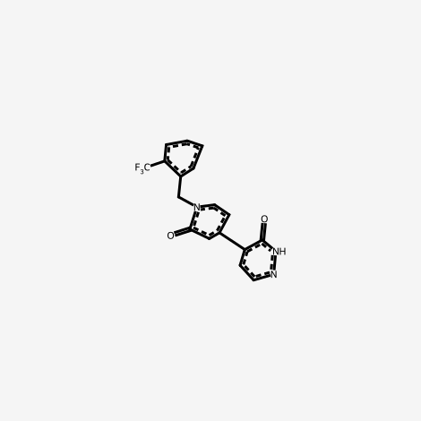 O=c1[nH]nccc1-c1ccn(Cc2ccccc2C(F)(F)F)c(=O)c1